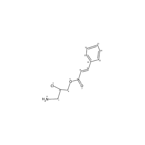 NCC(Cl)COC(=O)/C=C/c1ccccc1